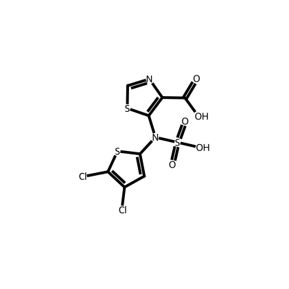 O=C(O)c1ncsc1N(c1cc(Cl)c(Cl)s1)S(=O)(=O)O